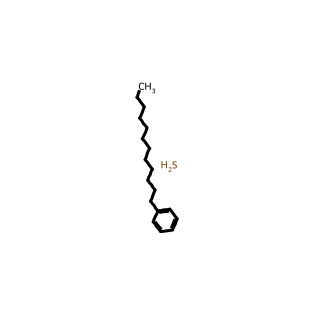 CCCCCCCCCCCCc1ccccc1.S